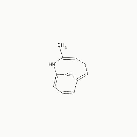 C/C1=C/C/C=C/C=C\C=C(/C)N1